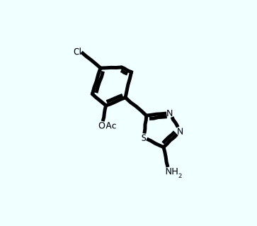 CC(=O)Oc1cc(Cl)ccc1-c1nnc(N)s1